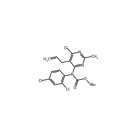 C=CCc1c(Cl)nc(C)nc1N(C(=O)OC(C)(C)C)c1ccc(Cl)cc1Cl